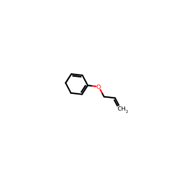 C=CCOC1=CCCC=C1